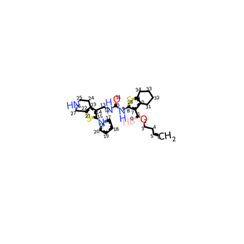 B=C(OCCC=C)c1c(NC(=O)NCc2c(-n3cccc3)sc3c2CCNC3)sc2c1CCCC2